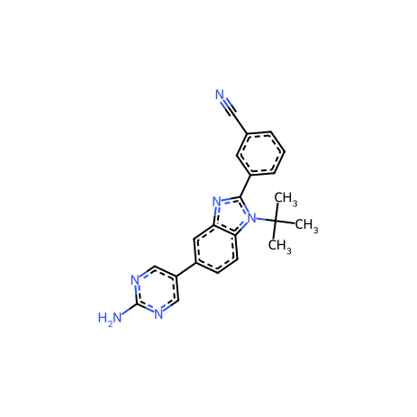 CC(C)(C)n1c(-c2cccc(C#N)c2)nc2cc(-c3cnc(N)nc3)ccc21